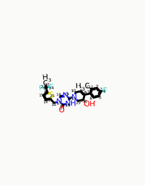 Cc1cc(F)ccc1C1=CCN(C2N=CN(Cc3ccc(C(C)(F)F)s3)C(=O)N2)C[C@@H]1O